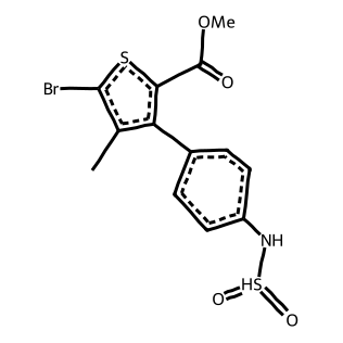 COC(=O)c1sc(Br)c(C)c1-c1ccc(N[SH](=O)=O)cc1